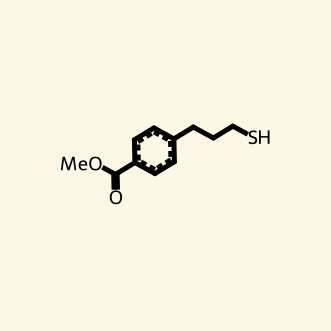 COC(=O)c1ccc(CCCS)cc1